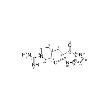 N=C(N)N1CCC(CC(C(N)=O)C(=O)c2nccs2)CC1